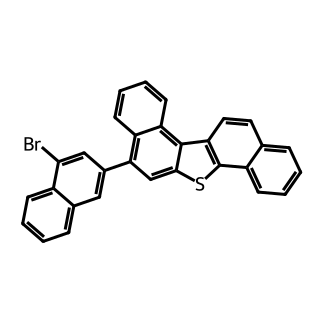 Brc1cc(-c2cc3sc4c5ccccc5ccc4c3c3ccccc23)cc2ccccc12